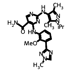 COc1c(Nc2nc(Nc3c(C)nn(C(C)C)c3C)ncc2C(N)=O)cccc1-c1ncn(C)n1